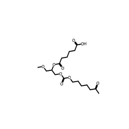 COCC(COC(=O)OCCCCCC(C)=O)OC(=O)CCCCC(=O)O